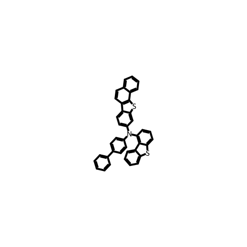 c1ccc(-c2ccc(N(c3ccc4c(c3)sc3c5ccccc5ccc43)c3cccc4sc5ccccc5c34)cc2)cc1